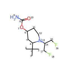 CC(C)(C)C1CC(OC(N)=O)CCN1C(CF)CF